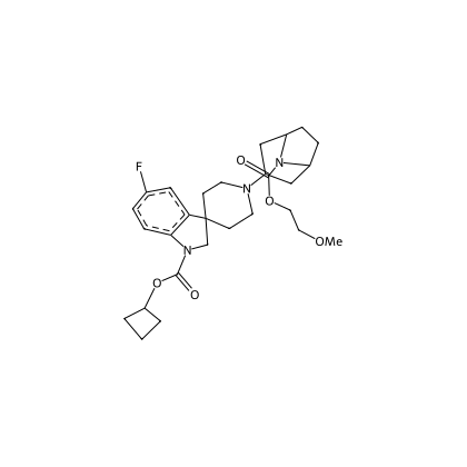 COCCOC(=O)N1C2CCC1CC(N1CCC3(CC1)CN(C(=O)OC1CCC1)c1ccc(F)cc13)C2